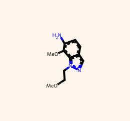 COCCn1ncc2ccc(N)c(OC)c21